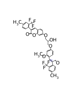 COc1cc(OCC(O)COc2ccc3cc(-c4ccc(C)cc4C(F)(F)F)c(=O)oc3c2)ccc1/C=C(\C=O)c1ccc(C)cc1C(F)(F)F